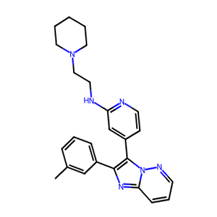 Cc1cccc(-c2nc3cccnn3c2-c2ccnc(NCCN3CCCCC3)c2)c1